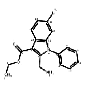 CCOC(=O)c1c(CN)n(-c2ccccc2)c2cc(Br)ccc12